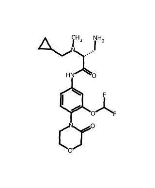 CN(CC1CC1)[C@H](CN)C(=O)Nc1ccc(N2CCOCC2=O)c(OC(F)F)c1